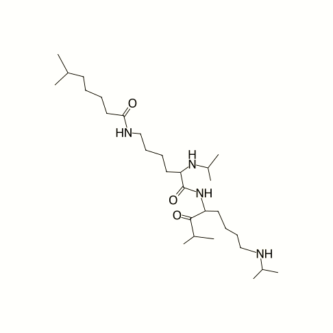 CC(C)CCCCC(=O)NCCCCC(NC(C)C)C(=O)NC(CCCCNC(C)C)C(=O)C(C)C